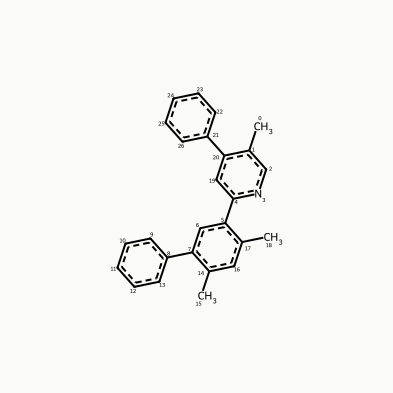 Cc1cnc(-c2cc(-c3ccccc3)c(C)cc2C)cc1-c1ccccc1